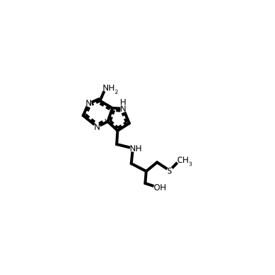 CSCC(CO)CNCc1c[nH]c2c(N)ncnc12